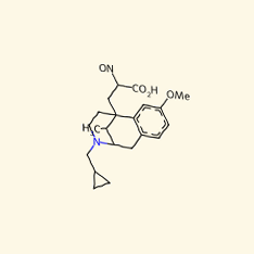 COc1ccc2c(c1)C1(CC(N=O)C(=O)O)CCN(CC3CC3)C(C2)C1C